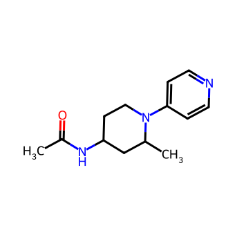 CC(=O)NC1CCN(c2ccncc2)C(C)C1